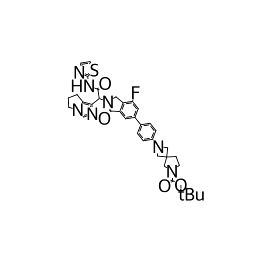 CC(C)(C)OC(=O)N1CCC2(C1)CN(c1ccc(-c3cc(F)c4c(c3)C(=O)N(C(C(=O)Nc3nccs3)c3ncn5c3CCC5)C4)cc1)C2